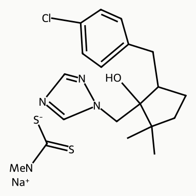 CC1(C)CCC(Cc2ccc(Cl)cc2)C1(O)Cn1cncn1.CNC(=S)[S-].[Na+]